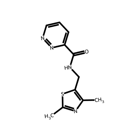 Cc1nc(C)c(CNC(=O)c2cccnn2)s1